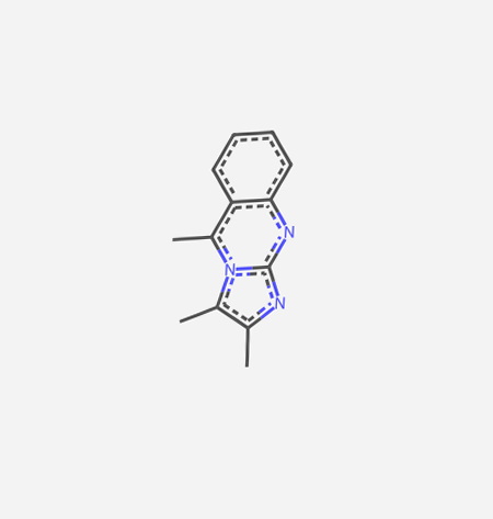 Cc1nc2nc3ccccc3c(C)n2c1C